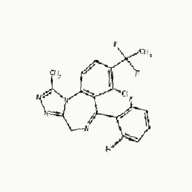 Cc1nnc2n1-c1ccc(C(C)(F)F)c(Cl)c1C(c1c(F)cccc1F)=NC2